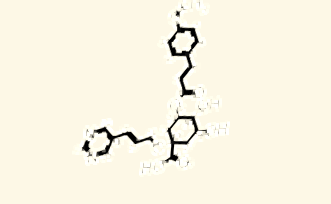 COc1ccc(C=CC(=O)O[C@@H]2C[C@](OCC=Cc3cncnc3)(C(=O)O)C[C@H](O)[C@H]2O)cc1